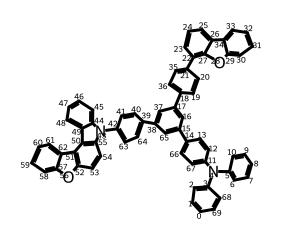 c1ccc(N(c2ccccc2)c2ccc(-c3cc(-c4ccc(-c5cccc6c5oc5ccccc56)cc4)cc(-c4ccc(-n5c6ccccc6c6c7c(ccc65)oc5ccccc57)cc4)c3)cc2)cc1